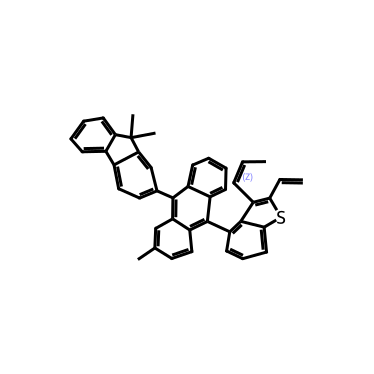 C=Cc1sc2cccc(-c3c4ccccc4c(-c4ccc5c(c4)C(C)(C)c4ccccc4-5)c4cc(C)ccc34)c2c1/C=C\C